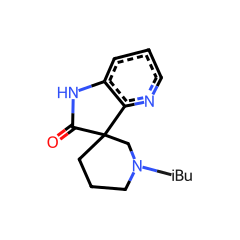 CCC(C)N1CCCC2(C1)C(=O)Nc1cccnc12